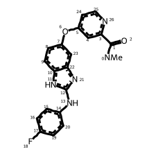 CNC(=O)c1cc(Oc2ccc3[nH]c(Nc4ccc(F)cc4)nc3c2)ccn1